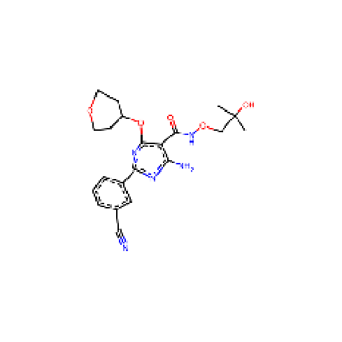 CC(C)(O)CONC(=O)c1c(N)nc(-c2cccc(C#N)c2)nc1OC1CCOCC1